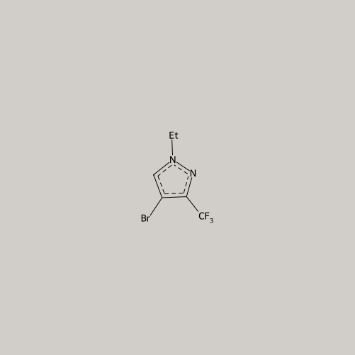 CCn1cc(Br)c(C(F)(F)F)n1